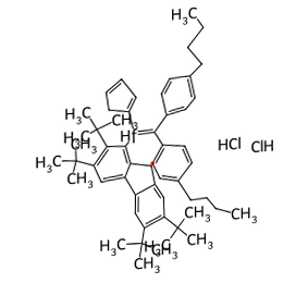 CCCCc1ccc([C](c2ccc(CCCC)cc2)=[Hf]([C]2=CC=CC2)[c]2c3c(cc(C(C)(C)C)c2C(C)(C)C)-c2cc(C(C)(C)C)c(C(C)(C)C)cc2C3)cc1.Cl.Cl